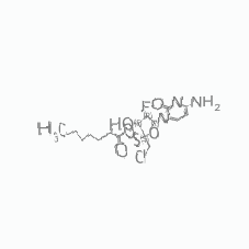 CCCCCCCC(=O)OS[C@@]1(CCl)O[C@@H](n2ccc(N)nc2=O)[C@H](F)[C@@H]1O